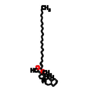 C#C[C@]1(OC(=O)/C=C/CCCCCCCCCCCCCCCCCCCCC)CC[C@H]2[C@@H]3CCC4CC=CC[C@@H]4[C@H]3CC[C@@]21C